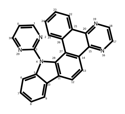 c1cnc(-n2c3ccccc3c3ccc4c5nccnc5c5ccccc5c4c32)nc1